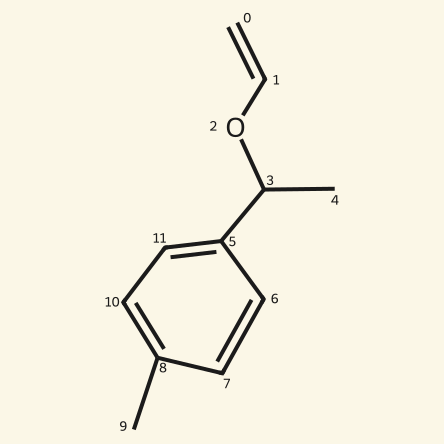 C=COC(C)c1ccc(C)cc1